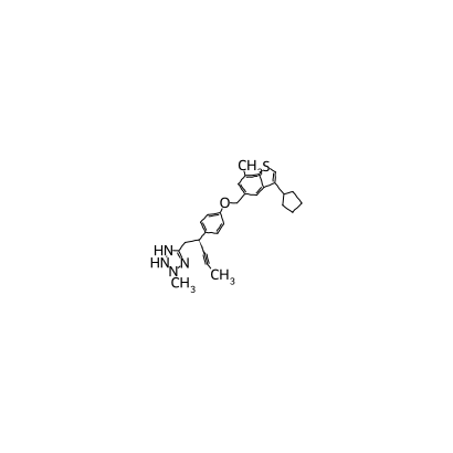 CC#C[C@@H](CC1=NN(C)NN1)c1ccc(OCc2cc(C)c3scc(C4CCCC4)c3c2)cc1